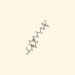 CC(C)CN1CCN(CCCCCCC(C)(C)C)CC1